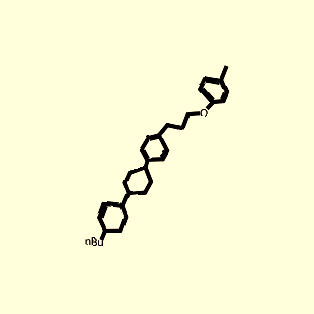 CCCCC1C=CC(C2CCC(c3ccc(CCCOc4ccc(C)cc4)cc3)CC2)CC1